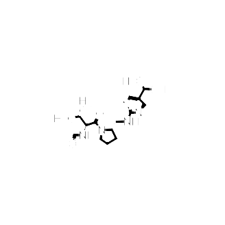 CC(C)c1cnc(NC[C@@H]2CCCN2C(=O)[C@@H](NC=O)C(C)C)nc1